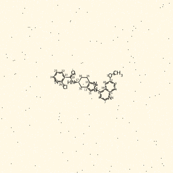 COc1ccc2nccc(-n3cc4c(n3)CCC(NC(=O)c3cccnc3Cl)C4)c2c1